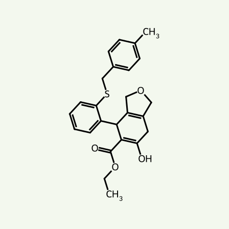 CCOC(=O)C1=C(O)CC2=C(COC2)C1c1ccccc1SCc1ccc(C)cc1